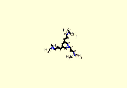 CN(C)CCCC1CC(CCCN(C)C)CN(CCCN(C)C)C1